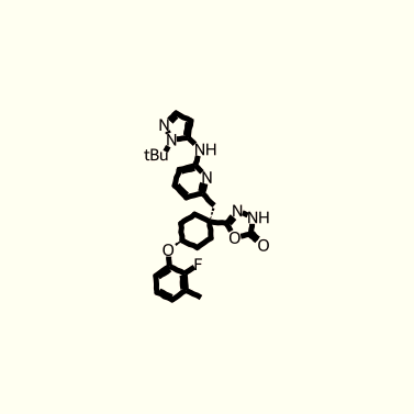 Cc1cccc(O[C@H]2CC[C@](Cc3cccc(Nc4ccnn4C(C)(C)C)n3)(c3n[nH]c(=O)o3)CC2)c1F